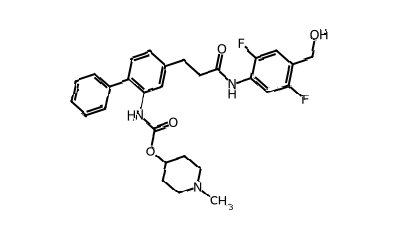 CN1CCC(OC(=O)Nc2cc(CCC(=O)Nc3cc(F)c(CO)cc3F)ccc2-c2ccccc2)CC1